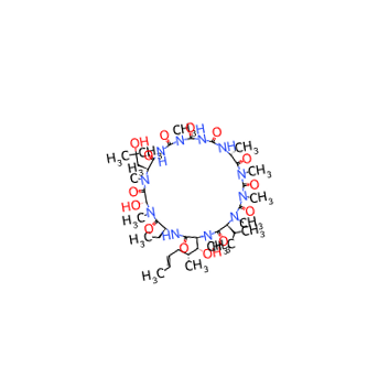 C/C=C/C[C@@H](C)[C@@H](O)[C@H]1C(=O)N[C@@H](CC)C(=O)N(C)[C@H](O)C(=O)N(C)[C@@H](CC(C)(C)O)C(=O)NC(=O)N(C)C(=O)NC(=O)N[C@H](C)C(=O)N(C)C(=O)N(C)C(=O)N(C)[C@@H](C(C)C)C(=O)N1C